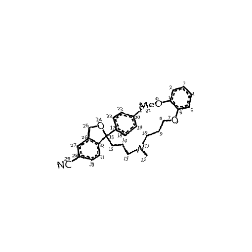 COc1ccccc1OCCCN(C)CCCC1(c2ccc(F)cc2)OCc2cc(C#N)ccc21